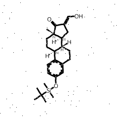 CC(C)(C)[Si](C)(C)Oc1ccc2c(c1)CC[C@@H]1[C@@H]2CC[C@]2(C)C(=O)C(=CO)C[C@@H]12